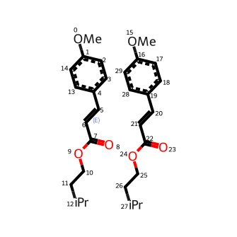 COc1ccc(/C=C/C(=O)OCCC(C)C)cc1.COc1ccc(C=CC(=O)OCCC(C)C)cc1